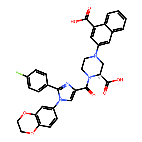 O=C(O)c1cc(N2CCN(C(=O)c3cn(-c4ccc5c(c4)OCCO5)c(-c4ccc(F)cc4)n3)[C@H](C(=O)O)C2)cc2ccccc12